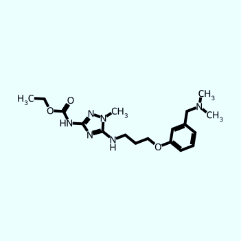 CCOC(=O)Nc1nc(NCCCOc2cccc(CN(C)C)c2)n(C)n1